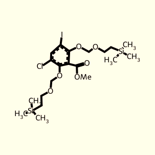 COC(=O)c1c(OCOCC[Si](C)(C)C)c(Cl)cc(I)c1OCOCC[Si](C)(C)C